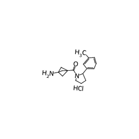 Cc1cccc(C2CCCN2C(=O)C23CC(N)(C2)C3)c1.Cl